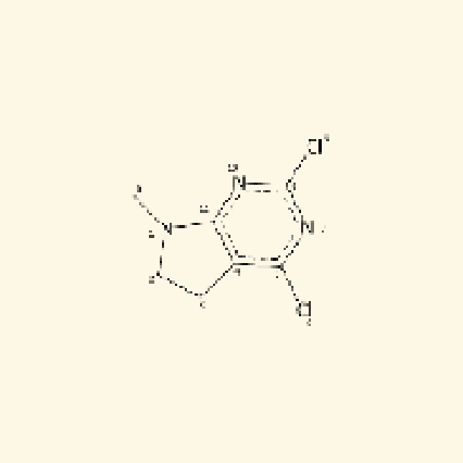 CN1CCc2c(Cl)nc(Cl)nc21